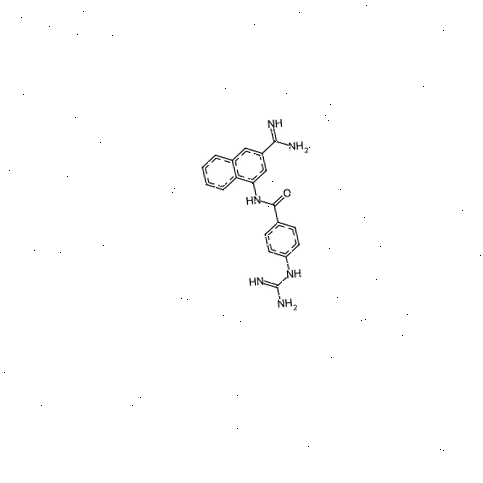 N=C(N)Nc1ccc(C(=O)Nc2cc(C(=N)N)cc3ccccc23)cc1